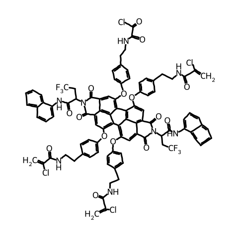 C=C(Cl)C(=O)NCCc1ccc(Oc2cc3c4c(cc(Oc5ccc(CCNC(=O)C(=C)Cl)cc5)c5c6c(Oc7ccc(CCNC(=O)C(=O)Cl)cc7)cc7c8c(cc(Oc9ccc(CCNC(=O)C(=C)Cl)cc9)c(c2c45)c86)C(=O)N(C(CC(F)(F)F)C(=O)Nc2cccc4ccccc24)C7=O)C(=O)N(C(CC(F)(F)F)C(=O)Nc2cccc4ccccc24)C3=O)cc1